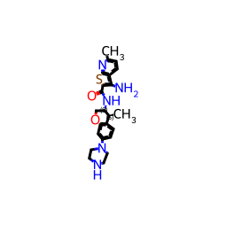 Cc1ccc2c(N)c(C(=O)N[C@@H]3COc4cc(N5CCNCC5)ccc4[C@@H]3C)sc2n1